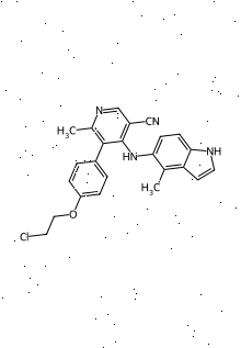 Cc1ncc(C#N)c(Nc2ccc3[nH]ccc3c2C)c1-c1ccc(OCCCl)cc1